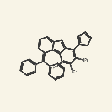 CC(C)c1c(C(C)C)c(C(C)C)c2c(c1C1=CC=CC1)=[C]c1cccc(=C(c3ccccc3)c3ccccc3)c1=2